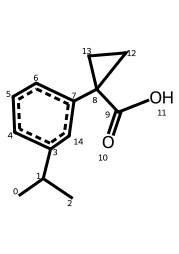 CC(C)c1cccc(C2(C(=O)O)CC2)c1